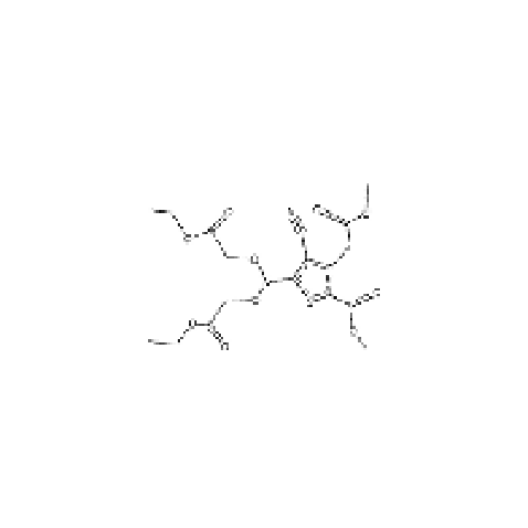 CCOC(=O)CON(OCC(=O)OCC)c1sc(C(=O)OC)c(CC(=O)OC)c1C#N